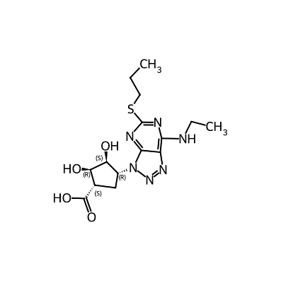 CCCSc1nc(NCC)c2nnn([C@@H]3C[C@H](C(=O)O)[C@@H](O)[C@H]3O)c2n1